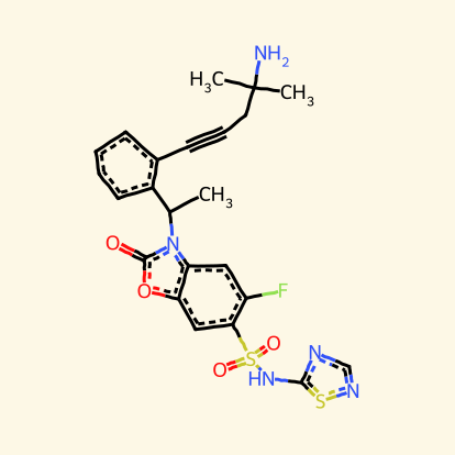 CC(c1ccccc1C#CCC(C)(C)N)n1c(=O)oc2cc(S(=O)(=O)Nc3ncns3)c(F)cc21